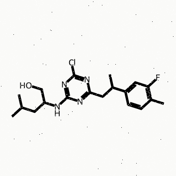 Cc1ccc(C(C)Cc2nc(Cl)nc(NC(CO)CC(C)C)n2)cc1F